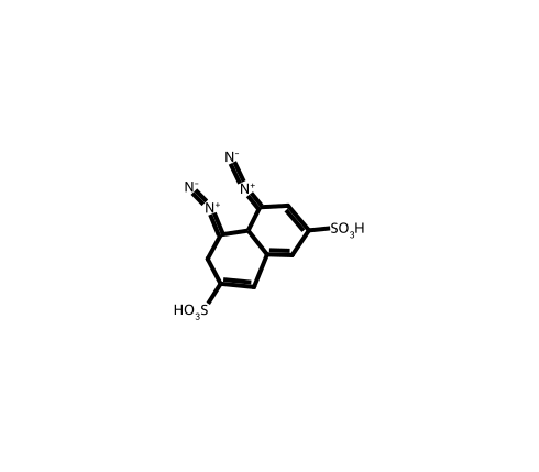 [N-]=[N+]=C1C=C(S(=O)(=O)O)C=C2C=C(S(=O)(=O)O)CC(=[N+]=[N-])C21